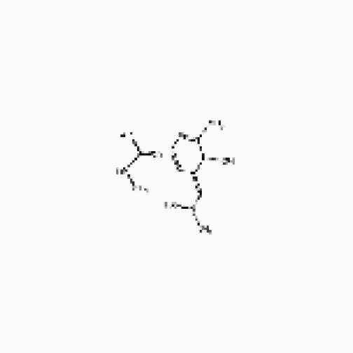 CN(C)C=C1C=CN=C(N)C1O.CNC(=O)O